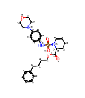 O=C(OCCCCc1ccccc1)[C@@H]1CCCCN1S(=O)(=O)Nc1ccc(N2CCOCC2)cc1